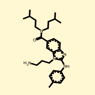 Cc1ccc(Nc2nc3ccc(C(=O)N(CCC(C)C)CCC(C)C)cc3n2CCCN)cc1